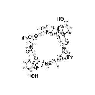 CC(C)C[C@H]1C(=O)O[C@H](Cc2ccc(CO)cc2)C(=O)N(C)[C@@H](CC(C)C)C(=O)O[C@H](C)C(=O)N(C)[C@@H](CC(C)C)C(=O)O[C@H](Cc2ccc(CO)cc2)C(=O)N(C)[C@@H](CC(C)C)C(=O)O[C@H](C)CN1C